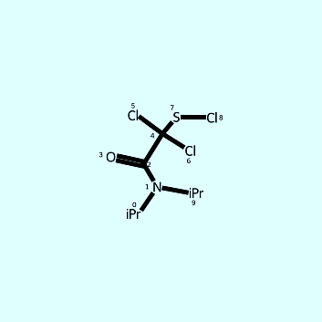 CC(C)N(C(=O)C(Cl)(Cl)SCl)C(C)C